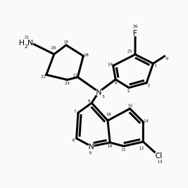 Cc1ccc(N(c2ccnc3cc(Cl)ccc23)C2CCC(N)CC2)cc1F